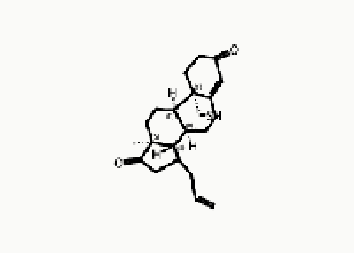 C=CCC1CC(=O)[C@@]2(C)CC[C@@H]3[C@@H](CCC4=CC(=O)CC[C@@]43CS)[C@H]12